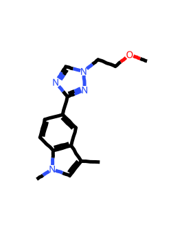 COCCn1cnc(-c2ccc3c(c2)c(C)cn3C)n1